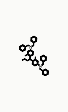 CCCC(c1ccc(N(Cc2ccccc2)Cc2ccccc2)cc1C)c1ccc(N(Cc2ccccc2)Cc2ccccc2)cc1C